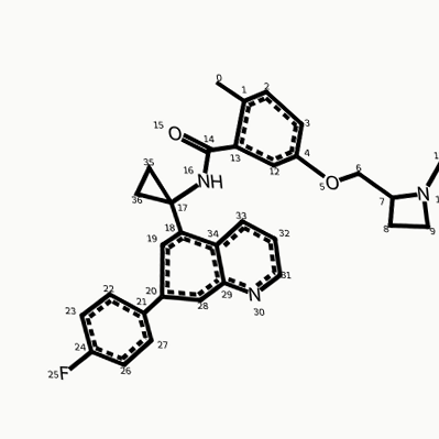 Cc1ccc(OCC2CCN2C)cc1C(=O)NC1(c2cc(-c3ccc(F)cc3)cc3ncccc23)CC1